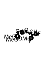 COc1cc(C(=O)N2CCN(C(=O)CCCC(O)C(c3ccc(F)cc3)c3ccc(F)cc3)CC2)cc(OC)c1OC